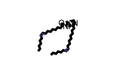 CCCCCC/C=C\CCCCCCCCC1=NC=C[N+]1(C)C(C)NC(=O)CCCCCCC/C=C\CCCCCC